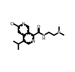 CC(C)c1cnc(C(=O)NCCN(C)C)c2cnc(Cl)cc12